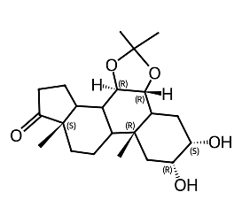 CC1(C)O[C@@H]2C3C(CC[C@]4(C)C(=O)CCC34)[C@@]3(C)C[C@@H](O)[C@@H](O)CC3[C@H]2O1